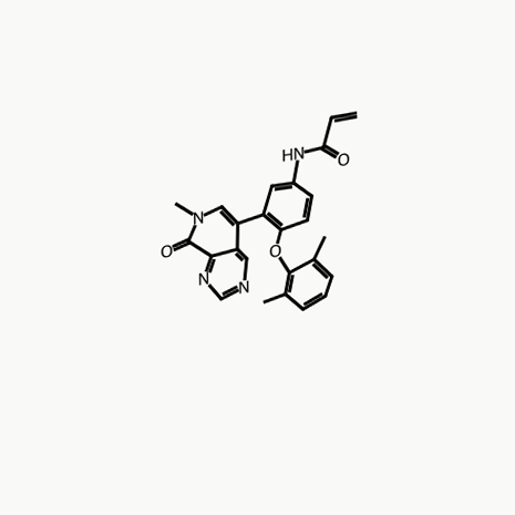 C=CC(=O)Nc1ccc(Oc2c(C)cccc2C)c(-c2cn(C)c(=O)c3ncncc23)c1